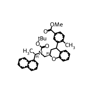 COC(=O)c1ccc(C)c(C2C[C@H](CN(C(=O)OC(C)(C)C)[C@H](C)c3cccc4ccccc34)Oc3ccccc32)c1